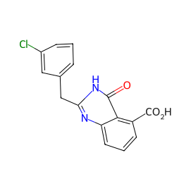 O=C(O)c1cccc2nc(Cc3cccc(Cl)c3)[nH]c(=O)c12